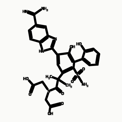 CC(C)(C(=O)N(CC(=O)O)CC(=O)O)c1cc(-c2nc3cc(C(=N)N)ccc3[nH]2)c(O)c(-c2ccccc2O)c1S(N)(=O)=O